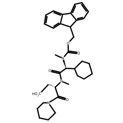 CN(C(=O)OCC1c2ccccc2-c2ccccc21)[C@H](C(=O)N(C)[C@@H](CC(=O)O)C(=O)N1CCCCC1)C1CCCCC1